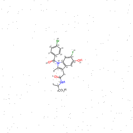 Cc1c(CC(=O)NC(C)C(=O)O)c2cc(O)c(F)cc2n1C(=O)c1ccc(Br)cc1